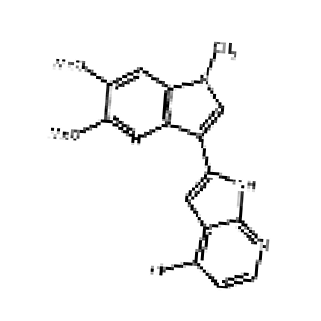 COc1cc2c(nc1OC)c(-c1cc3c(Cl)ccnc3[nH]1)cn2C